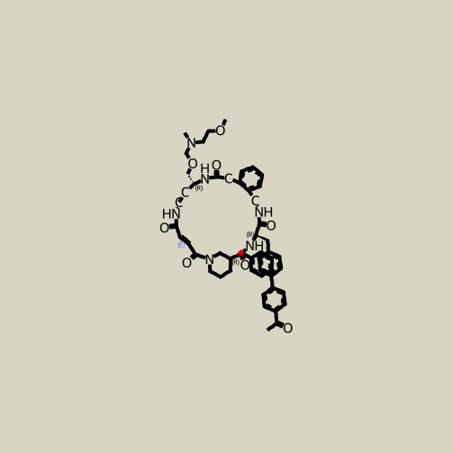 COCCN(C)COC[C@H]1CCNC(=O)/C=C/C(=O)N2CCC[C@@](Cc3ccccc3)(C2)C(=O)N[C@H](Cc2ccc(-c3ccc(C(C)=O)cc3)cc2)C(=O)NCc2ccccc2CC(=O)N1